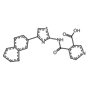 O=C(O)c1cnccc1C(=O)Nc1nc(-c2ccc3ccccc3c2)cs1